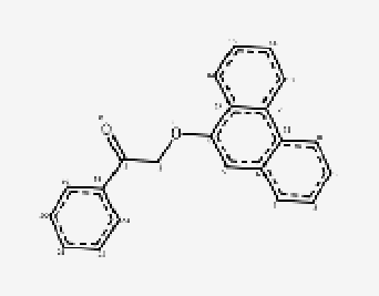 O=C(COc1cc2ccccc2c2ccccc12)c1ccccc1